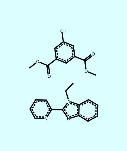 CCn1c(-c2ccccn2)nc2ccccc21.COC(=O)c1cc(O)cc(C(=O)OC)c1